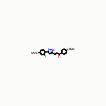 COc1ccc(C(=O)/C=C/c2cc(-c3ccc(OC)cc3F)n[nH]2)cc1